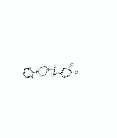 S=C(Nc1ccc(Cl)c(Cl)c1)N1CCN(c2ncccn2)CC1